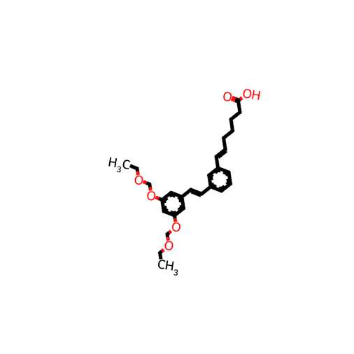 CCOCOc1cc(C=Cc2cccc(C=CCCCCC(=O)O)c2)cc(OCOCC)c1